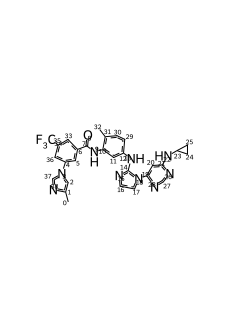 Cc1cn(-c2cc(C(=O)Nc3cc(Nc4nccn4-c4cc(NC5CC5)ncn4)ccc3C)cc(C(F)(F)F)c2)cn1